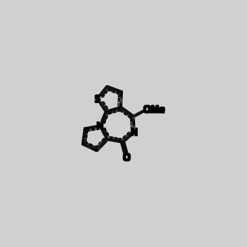 COc1nc(=O)c2cccn2c2sccc12